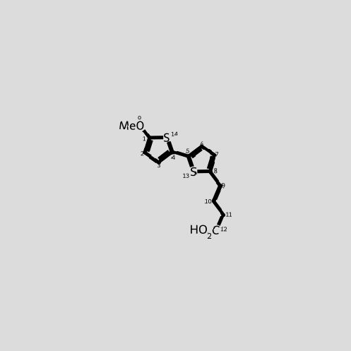 COc1ccc(-c2ccc(CCCC(=O)O)s2)s1